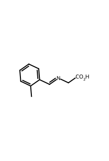 Cc1ccccc1C=NCC(=O)O